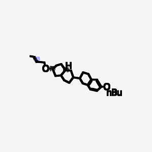 C/C=C/CO[C@@H]1CC[C@@H]2CC(C3CCc4cc(OCCCC)ccc4C3)CCC2C1